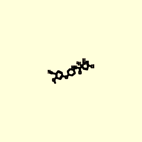 [2H]C1(C(=O)NC2CCC(Oc3ccc(C#N)c(OC)c3)CC2)C=CC(Cl)=NN1